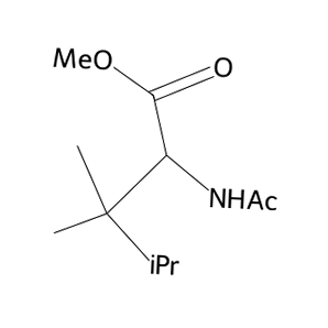 COC(=O)C(NC(C)=O)C(C)(C)C(C)C